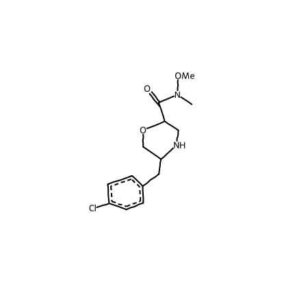 CON(C)C(=O)C1CNC(Cc2ccc(Cl)cc2)CO1